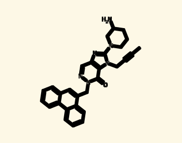 CC#CCn1c(N2CCCC(N)C2)nc2cnn(Cc3cc4ccccc4c4ccccc34)c(=O)c21